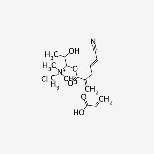 C=C(CC=CC#N)C(=O)OC(C(C)O)[N+](C)(C)C.C=CC(=O)O.[Cl-]